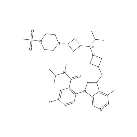 Cc1cncc2c1c(CC1CN([C@@H](C(C)C)[C@H]3C[C@@H](N4CCN(S(C)(=O)=O)CC4)C3)C1)cn2-c1ccc(F)cc1C(=O)N(C)C(C)C